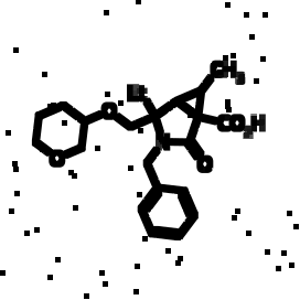 CCC1(COC2CCCOC2)C2C(C)C2(C(=O)O)C(=O)N1Cc1ccccc1